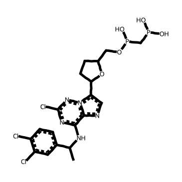 CC(Nc1nc(Cl)nn2c(C3CCC(COP(O)CP(O)O)O3)cnc12)c1ccc(Cl)c(Cl)c1